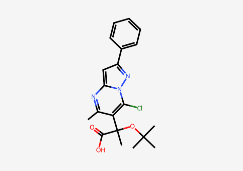 Cc1nc2cc(-c3ccccc3)nn2c(Cl)c1C(C)(OC(C)(C)C)C(=O)O